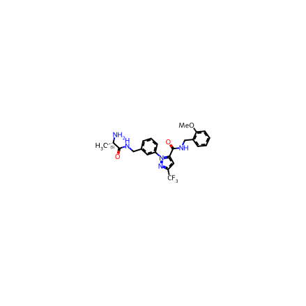 COc1ccccc1CNC(=O)c1cc(C(F)(F)F)nn1-c1cccc(CNC(=O)[C@H](C)N)c1